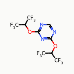 FC(F)(F)C(Oc1ncnc(OC(C(F)(F)F)C(F)(F)F)n1)C(F)(F)F